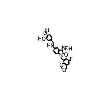 CCOc1ccc(CNc2ccc3c(c2)/C(=N/O)C(=O)N3Cc2cc(F)cc3c2OCOC3)cc1O